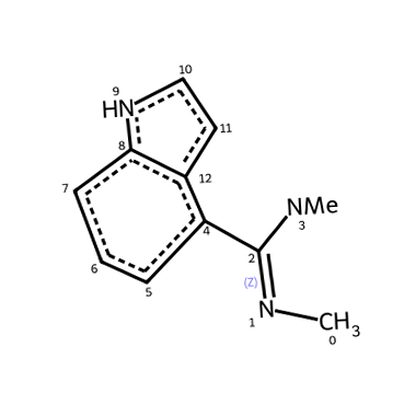 C/N=C(\NC)c1cccc2[nH]ccc12